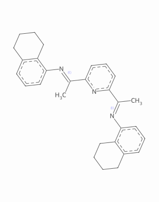 C/C(=N\c1cccc2c1CCCC2)c1cccc(/C(C)=N/c2cccc3c2CCCC3)n1